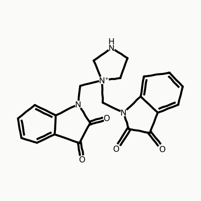 O=C1C(=O)N(C[N+]2(CN3C(=O)C(=O)c4ccccc43)CCNC2)c2ccccc21